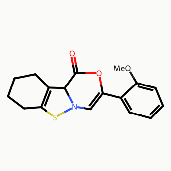 COc1ccccc1C1=CN2SC3=C(CCCC3)C2C(=O)O1